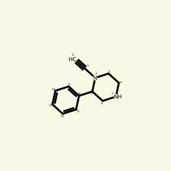 C#CN1CCNCC1c1ccccc1